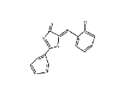 O=C1N=C(c2ccccc2)S/C1=C\c1ccccc1Cl